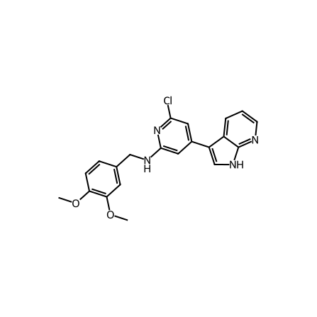 COc1ccc(CNc2cc(-c3c[nH]c4ncccc34)cc(Cl)n2)cc1OC